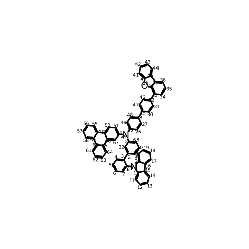 c1cc(-c2ccccc2-n2c3ccccc3c3ccccc32)cc(N(c2ccc(-c3ccc(-c4cccc5c4oc4ccccc45)cc3)cc2)c2ccc3c4ccccc4c4ccccc4c3c2)c1